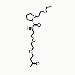 CCOCCN1CCC[C@H]1C(=O)NCCOCCOCCC(C)=O